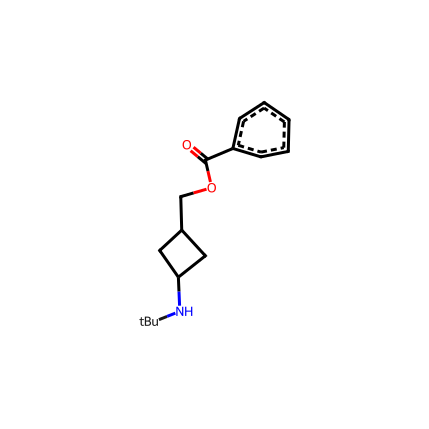 CC(C)(C)NC1CC(COC(=O)c2ccccc2)C1